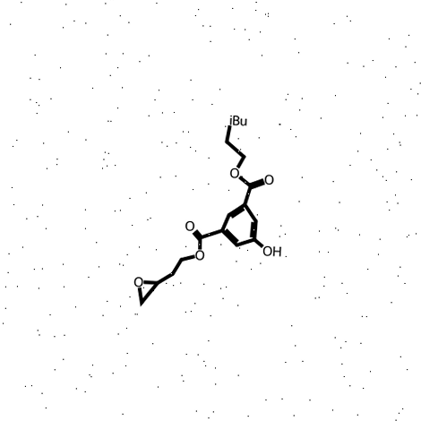 CCC(C)CCOC(=O)c1cc(O)cc(C(=O)OCCC2CO2)c1